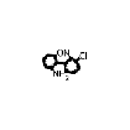 Nc1ccccc1-c1cccc(Cl)c1N=O